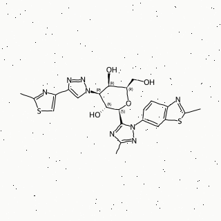 Cc1nc([C@@H]2O[C@H](CO)[C@H](O)[C@H](n3cc(-c4csc(C)n4)nn3)[C@H]2O)n(-c2ccc3nc(C)sc3c2)n1